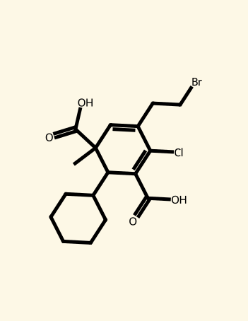 CC1(C(=O)O)C=C(CCBr)C(Cl)=C(C(=O)O)C1C1CCCCC1